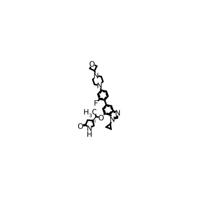 CC(Oc1cc(-c2ccc(N3CCN(C4COC4)CC3)cc2F)cc2ncn(C3CC3)c12)[C@H]1CNC(=O)C1